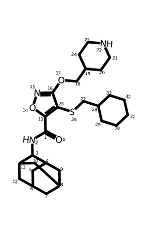 O=C(NC1C2CC3CC(C2)CC1C3)c1onc(OCC2CCNCC2)c1SCC1CCCCC1